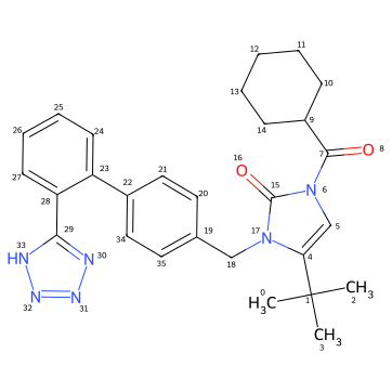 CC(C)(C)c1cn(C(=O)C2CCCCC2)c(=O)n1Cc1ccc(-c2ccccc2-c2nnn[nH]2)cc1